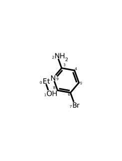 CCO.Nc1ccc(Br)cn1